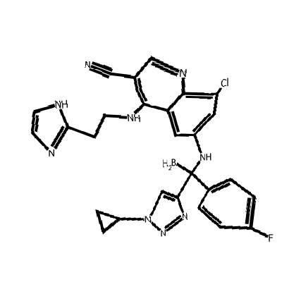 BC(Nc1cc(Cl)c2ncc(C#N)c(NCCc3ncc[nH]3)c2c1)(c1ccc(F)cc1)c1cn(C2CC2)nn1